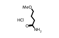 COCCCC(N)=O.Cl